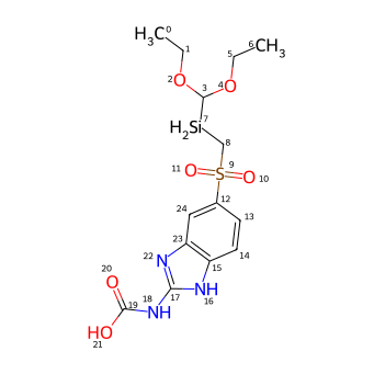 CCOC(OCC)[SiH2]CS(=O)(=O)c1ccc2[nH]c(NC(=O)O)nc2c1